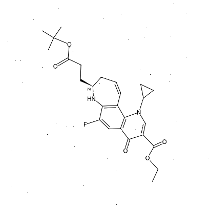 CCOC(=O)c1cn(C2CC2)c2c3c(c(F)cc2c1=O)N[C@@H](CCC(=O)OC(C)(C)C)CC=C3